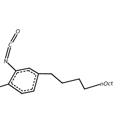 CCCCCCCCCCCCc1ccc(C)c(N=C=O)c1